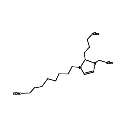 CCCCCCCCCCCCCCCCCCN1C=CN(CCCCCCCCCCC)C1CCCCCCCCCCCCC